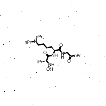 CCCC(=O)CNC(=O)[C@H](CCCCN(CCC)CCC)NC(=O)[C@@H](NO)C(C)C